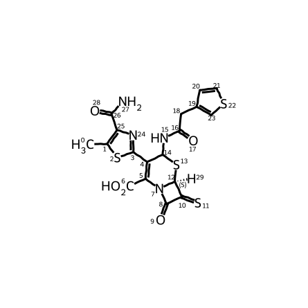 Cc1sc(C2=C(C(=O)O)N3C(=O)C(=S)[C@@H]3SC2NC(=O)Cc2ccsc2)nc1C(N)=O